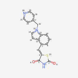 O=C1NC(=O)/C(=C/c2cccc3c2ccn3Cc2ccncc2)S1